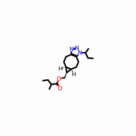 CCC(C)C(=O)OC[C@@H]1[C@@H]2CCc3c(nnn3C(C)CC)CC[C@@H]21